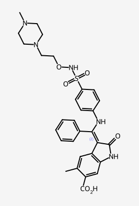 Cc1cc2c(cc1C(=O)O)NC(=O)/C2=C(\Nc1ccc(S(=O)(=O)NOCCN2CCN(C)CC2)cc1)c1ccccc1